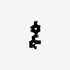 Cc1ccc(SCC(O)CN)cc1